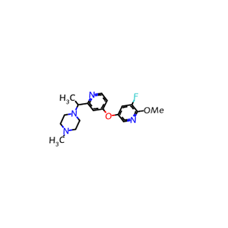 COc1ncc(Oc2ccnc(C(C)N3CCN(C)CC3)c2)cc1F